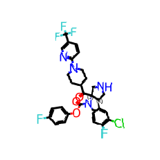 CCN(C(=O)Oc1ccc(F)cc1)[C@]1(C(=O)C2CCN(c3ccc(C(F)(F)F)cn3)CC2)CNC[C@H]1c1ccc(F)c(Cl)c1